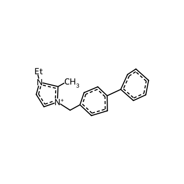 CCn1cc[n+](Cc2ccc(-c3ccccc3)cc2)c1C